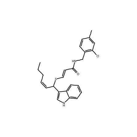 CCC/C=C\C(S/C=C/C(=O)NCc1ccc(C)cc1Cl)c1c[nH]c2ccccc12